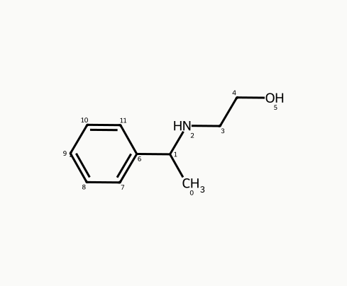 CC(NCCO)c1cc[c]cc1